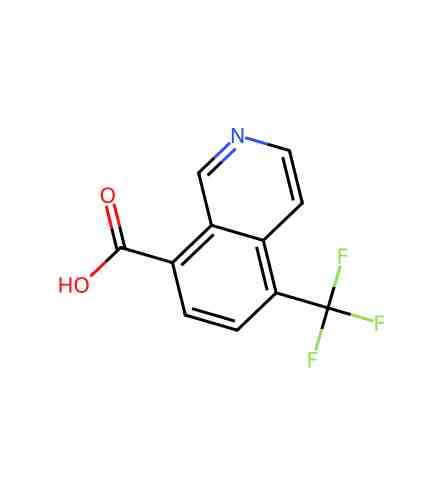 O=C(O)c1ccc(C(F)(F)F)c2ccncc12